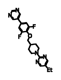 CCc1cnc(N2CCC(COc3c(F)cc(-c4cncnc4)cc3F)CC2)nc1